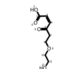 O=C(O)/C=C\C(=O)CCOCCO